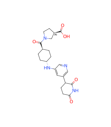 O=C1CCC(c2cncc(N[C@H]3CC[C@H](C(=O)N4CC[C@@H](C(=O)O)C4)CC3)c2)C(=O)N1